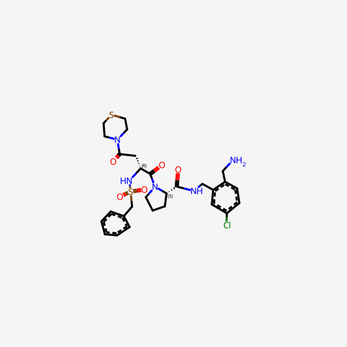 NCc1ccc(Cl)cc1CNC(=O)[C@@H]1CCCN1C(=O)[C@@H](CC(=O)N1CCSCC1)NS(=O)(=O)Cc1ccccc1